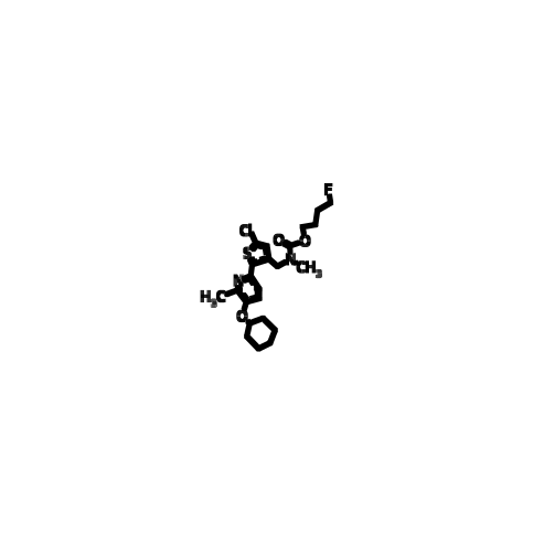 Cc1nc(-c2sc(Cl)cc2CN(C)C(=O)OCCCCF)ccc1OC1CCCCC1